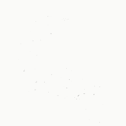 CCCN1C(=O)[C@@H]([C@H](O)C2CCCCC2)NC(=O)C12CCN(Cc1ccc(Oc3ccc(C(=O)OC)cc3)cc1)CC2.Cl